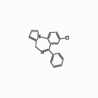 Clc1ccc2c(c1)C(c1ccccc1)=NCc1cccn1-2